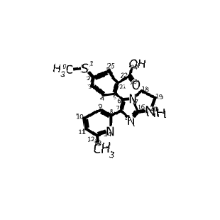 CSc1ccc(-c2c(-c3cccc(C)n3)nc3n2CCN3)c(C(=O)O)c1